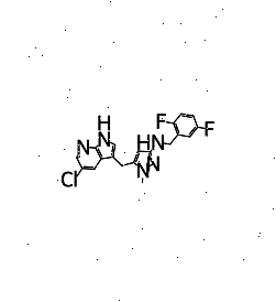 Cn1nc(NCc2cc(F)ccc2F)cc1Cc1c[nH]c2ncc(Cl)cc12